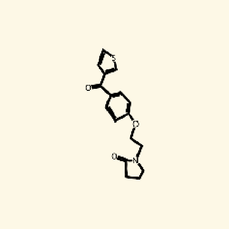 O=C(c1ccc(OCCN2CCCC2=O)cc1)c1ccsc1